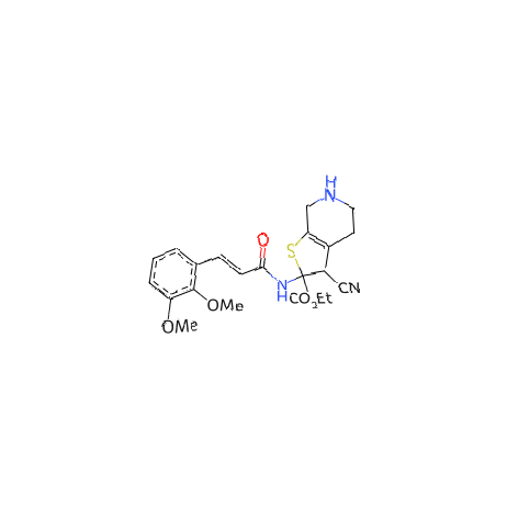 CCOC(=O)C1(NC(=O)C=Cc2cccc(OC)c2OC)SC2=C(CCNC2)C1C#N